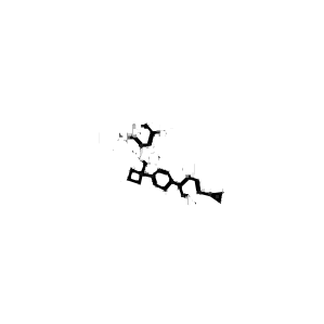 Cc1cc(C2CC2)ncc1-c1ccc(C2(C(=O)Nc3cc(Br)cnc3N)CCC2)cc1